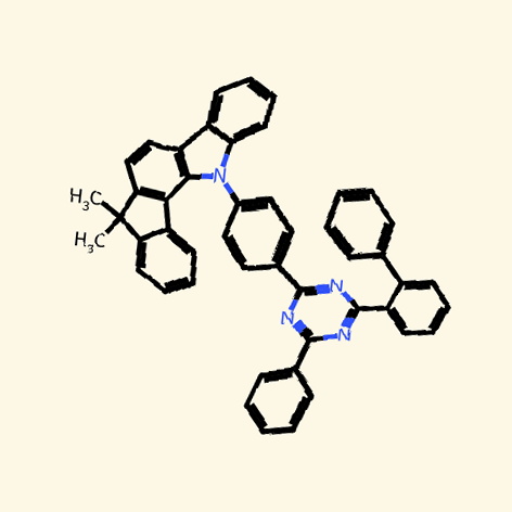 CC1(C)c2ccccc2-c2c1ccc1c3ccccc3n(-c3ccc(-c4nc(-c5ccccc5)nc(-c5ccccc5-c5ccccc5)n4)cc3)c21